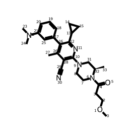 COCCC(=O)N1CCN(c2nc(C3CC3)c(-c3cccc(N(C)C)c3)c(C)c2C#N)C[C@H]1C